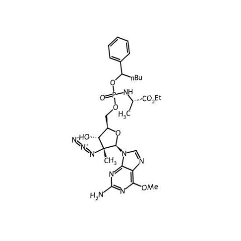 CCCCC(OP(=O)(N[C@@H](C)C(=O)OCC)OC[C@H]1O[C@@H](n2cnc3c(OC)nc(N)nc32)[C@](C)(N=[N+]=[N-])[C@@H]1O)c1ccccc1